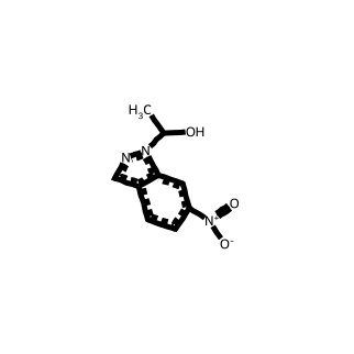 CC(O)n1ncc2ccc([N+](=O)[O-])cc21